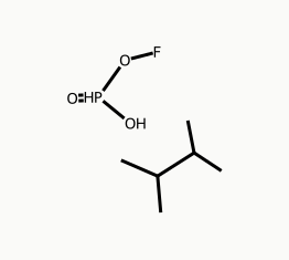 CC(C)C(C)C.O=[PH](O)OF